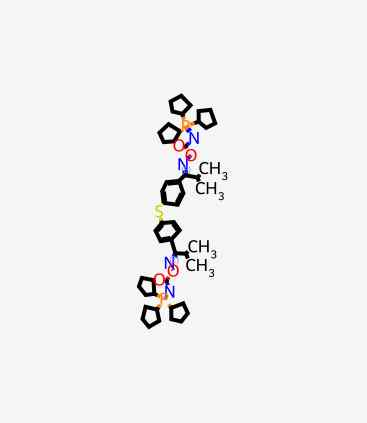 CC(C)/C(=N\OC(=O)N=P(C1CCCC1)(C1CCCC1)C1CCCC1)c1ccc(Sc2ccc(/C(=N/OC(=O)N=P(C3CCCC3)(C3CCCC3)C3CCCC3)C(C)C)cc2)cc1